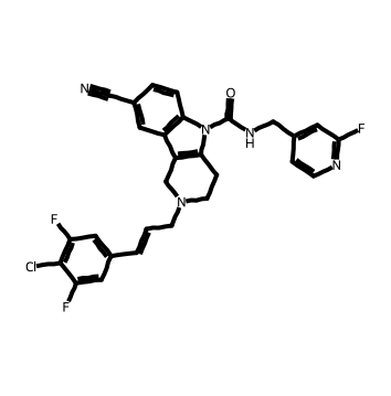 N#Cc1ccc2c(c1)c1c(n2C(=O)NCc2ccnc(F)c2)CCN(CC=Cc2cc(F)c(Cl)c(F)c2)C1